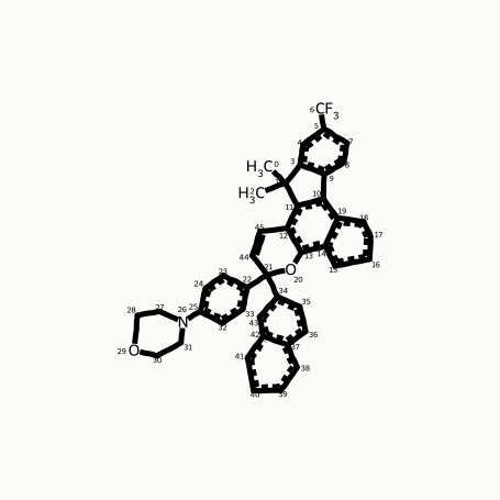 CC1(C)c2cc(C(F)(F)F)ccc2-c2c1c1c(c3ccccc23)OC(c2ccc(N3CCOCC3)cc2)(c2ccc3ccccc3c2)C=C1